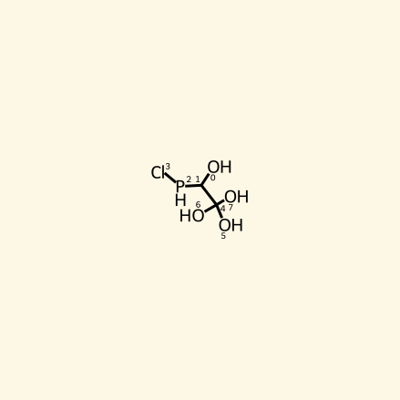 OC(PCl)C(O)(O)O